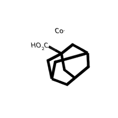 O=C(O)C12CC3CC(CC(C3)C1)C2.[Co]